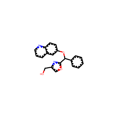 OCc1coc(C(Oc2ccc3ncccc3c2)c2ccccc2)n1